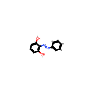 Oc1cccc(O)c1N=Nc1ccccc1